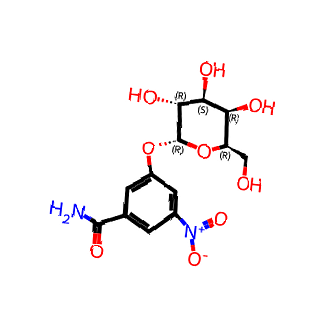 NC(=O)c1cc(O[C@H]2O[C@H](CO)[C@H](O)[C@H](O)[C@H]2O)cc([N+](=O)[O-])c1